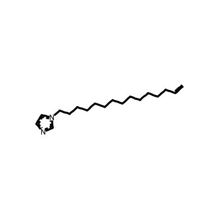 C=CCCCCCCCCCCCCCn1ccnc1